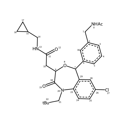 CC(=O)NCc1cccc(C2OC(CC(=O)NCC3CC3)C(=O)N(CC(C)(C)C)c3ccc(Cl)cc32)c1